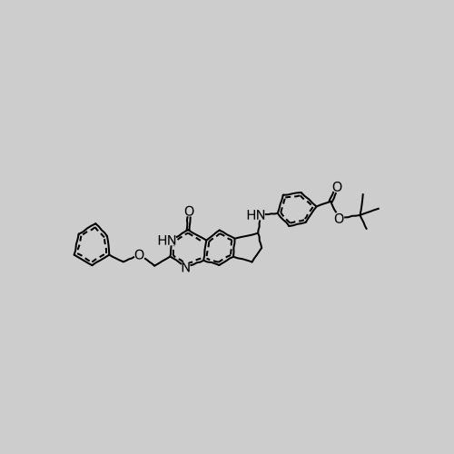 CC(C)(C)OC(=O)c1ccc(NC2CCc3cc4nc(COCc5ccccc5)[nH]c(=O)c4cc32)cc1